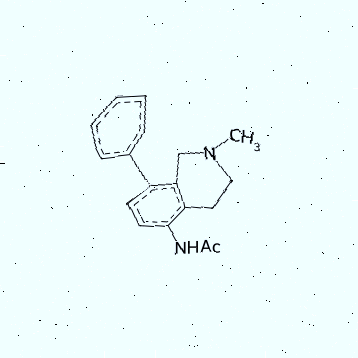 CC(=O)Nc1ccc(-c2ccccc2)c2c1CCN(C)C2